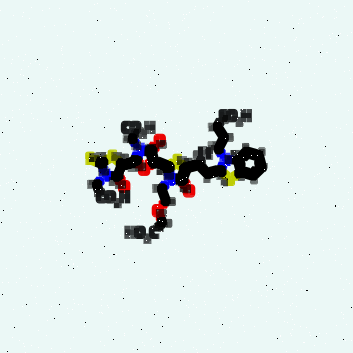 CC/C(C=C1Sc2ccccc2N1CCCS(=O)(=O)O)=c1\s/c(=c2/o/c(=C3/SC(=S)N(CC(=O)O)C3=O)n(CC(=O)O)c2=O)n(CCOCC(=O)O)c1=O